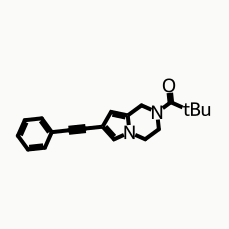 CC(C)(C)C(=O)N1CCn2cc(C#Cc3ccccc3)cc2C1